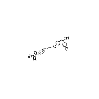 CC(C)NC(=O)CN1CCN(CCCCCOc2ccc(C=C(C#N)c3ccc(Cl)cc3)cc2)CC1